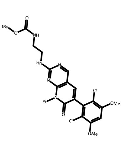 CCn1c(=O)c(-c2c(Cl)c(OC)cc(OC)c2Cl)cc2cnc(NCCNC(=O)OC(C)(C)C)nc21